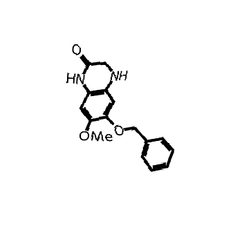 COc1cc2c(cc1OCc1ccccc1)NCC(=O)N2